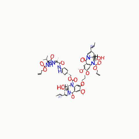 C=CCOC(=O)N[C@@H](C(=O)N[C@H](C)C(=O)Nc1ccc(COC(=O)N2C[C@H]3C(O)C(/C=C/C)=CN3C(=O)c3cc(OC)c(OCCCOc4cc5c(cc4OC)C(=O)N4C=C(/C=C/C)C[C@H]4[C@H](O)N5C(=O)OCC=C)cc32)cc1)C(C)C